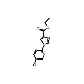 CCOC(=O)c1cn(-c2ccc(Cl)cn2)cn1